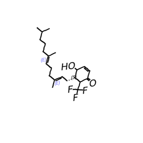 C/C(=C\C[C@@H]1C(O)C=CC(=O)C1C(F)(F)F)CC/C=C(\C)CCCC(C)C